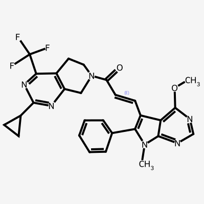 COc1ncnc2c1c(/C=C/C(=O)N1CCc3c(nc(C4CC4)nc3C(F)(F)F)C1)c(-c1ccccc1)n2C